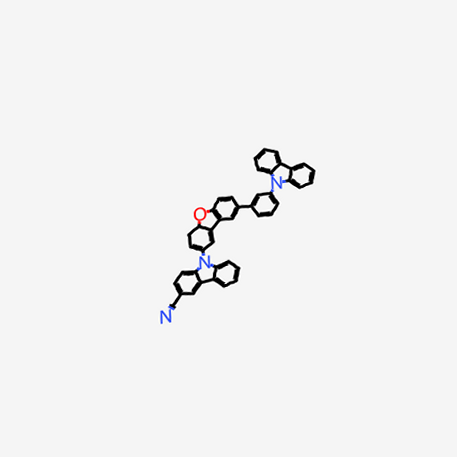 N#Cc1ccc2c(c1)c1ccccc1n2C1=CCC2Oc3ccc(-c4cccc(-n5c6ccccc6c6ccccc65)c4)cc3C2=C1